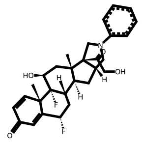 C[C@]12C=CC(=O)C=C1[C@@H](F)C[C@H]1[C@@H]3C[C@H]4CN(c5ccccc5)C[C@@]4(C(=O)CO)[C@@]3(C)C[C@H](O)[C@@]12F